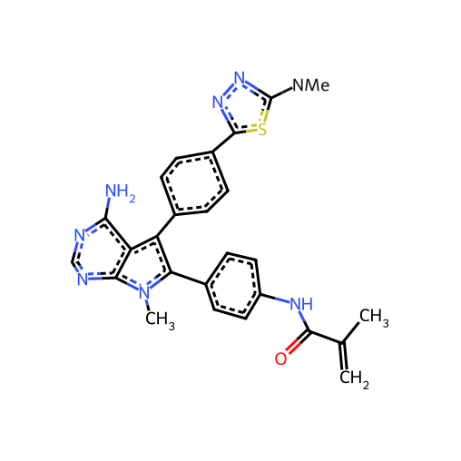 C=C(C)C(=O)Nc1ccc(-c2c(-c3ccc(-c4nnc(NC)s4)cc3)c3c(N)ncnc3n2C)cc1